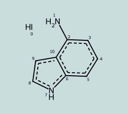 I.Nc1cccc2[nH]ccc12